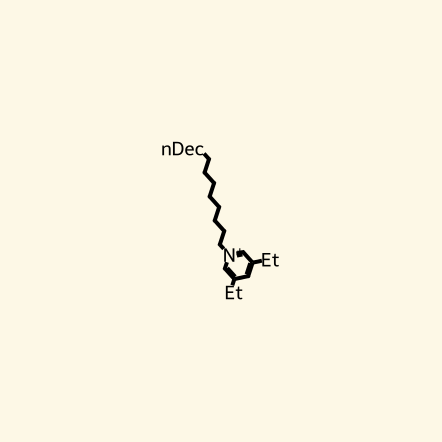 CCCCCCCCCCCCCCCCCC[n+]1cc(CC)cc(CC)c1